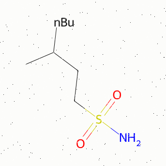 CCCCC(C)CCS(N)(=O)=O